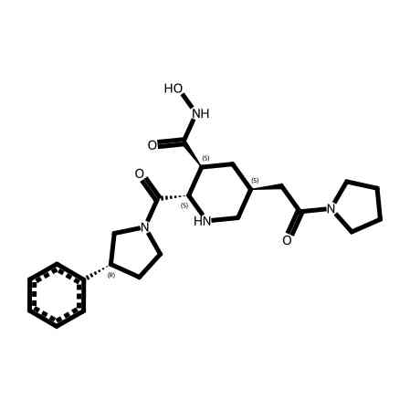 O=C(NO)[C@H]1C[C@@H](CC(=O)N2CCCC2)CN[C@@H]1C(=O)N1CC[C@H](c2ccccc2)C1